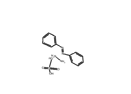 NN.O=S(=O)(O)O.c1ccc(N=Nc2ccccc2)cc1